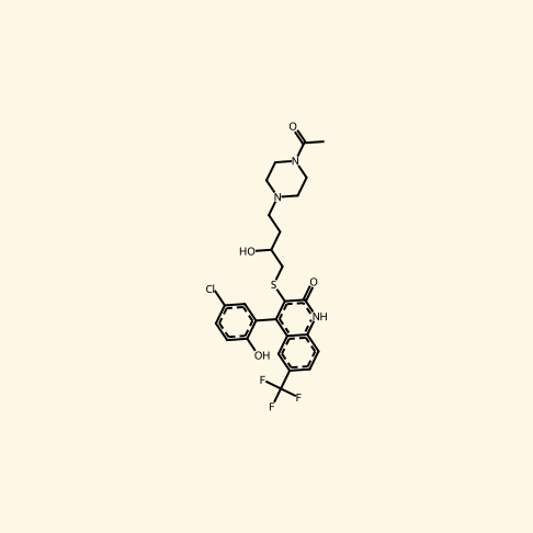 CC(=O)N1CCN(CCC(O)CSc2c(-c3cc(Cl)ccc3O)c3cc(C(F)(F)F)ccc3[nH]c2=O)CC1